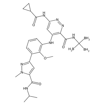 BC(B)(B)NC(=O)c1nnc(NC(=O)C2CC2)cc1Nc1cccc(-c2cc(C(=O)NC(C)C)n(C)n2)c1OC